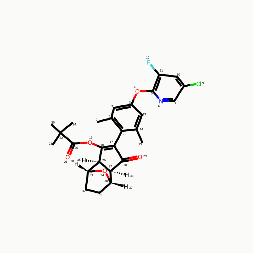 Cc1cc(Oc2ncc(Cl)cc2F)cc(C)c1C1=C(OC(=O)C(C)(C)C)[C@H]2[C@@H](C1=O)[C@@H]1CC[C@H]2O1